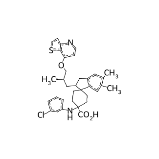 Cc1cc2c(cc1C)C1(CCC(Nc3cccc(Cl)c3)(C(=O)O)CC1)C(C[C@@H](C)COc1ccnc3ccsc13)C2